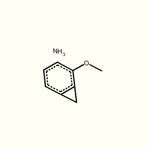 COc1cccc2c1C2.N